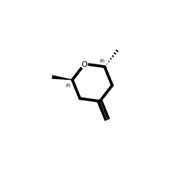 C=C1C[C@@H](C)O[C@H](C)C1